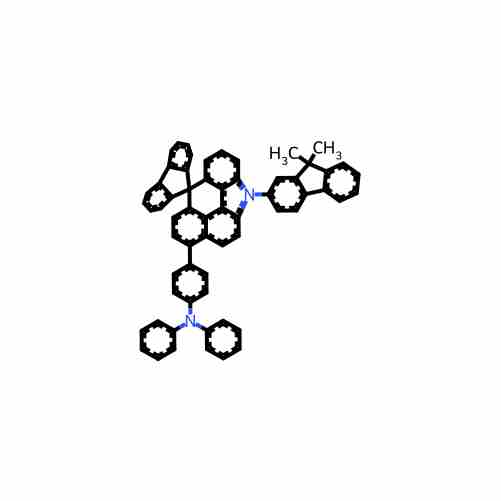 CC1(C)c2ccccc2-c2ccc(-n3c4cccc5c4c4c6c(ccc(-c7ccc(N(c8ccccc8)c8ccccc8)cc7)c6ccc43)C53c4ccccc4-c4ccccc43)cc21